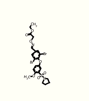 CCOC(=O)CON=Cc1cc(Br)c(Oc2ccc(OC)c(S(=O)(=O)N3CCCC3)c2)c(Br)c1